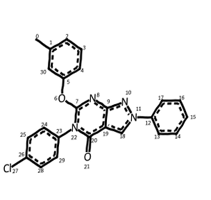 Cc1cccc(Oc2nc3nn(-c4ccccc4)cc3c(=O)n2-c2ccc(Cl)cc2)c1